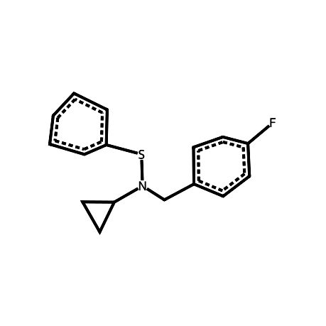 Fc1ccc(CN(Sc2ccccc2)C2CC2)cc1